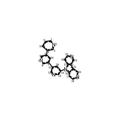 c1cncc(-c2cncc(-c3cncc(-n4c5ccncc5c5cnccc54)c3)c2)c1